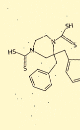 S=C(S)N1CCN(C(=S)S)C(Cc2ccccc2)(Cc2ccccc2)C1